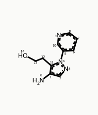 Nc1cnn(-c2cccnc2)c1CCO